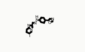 Ic1ccc2nc(C=NNc3ccc(-c4cnco4)cc3)cn2c1